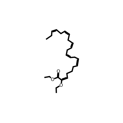 CC/C=C\C/C=C\C/C=C\C/C=C\C/C=C\CCC/C=C(/OCC)C(=O)OCC